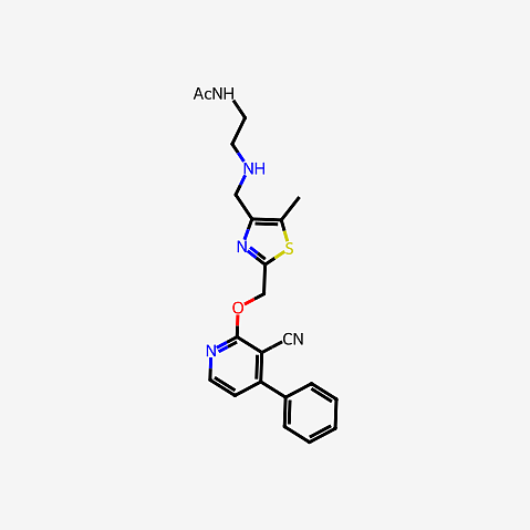 CC(=O)NCCNCc1nc(COc2nccc(-c3ccccc3)c2C#N)sc1C